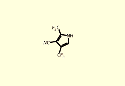 N#Cc1c(C(F)(F)F)c[nH]c1C(F)(F)F